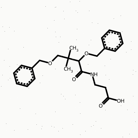 CC(C)(COCc1ccccc1)C(OCc1ccccc1)C(=O)NCCC(=O)O